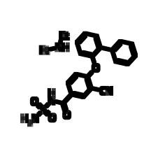 CCNCC.N#Cc1cc(C(=O)NS(N)(=O)=O)ccc1Oc1ccccc1-c1ccccc1